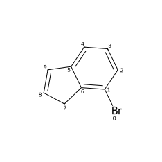 Brc1cccc2c1CC=C2